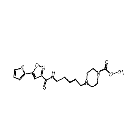 COC(=O)N1CCN(CCCCCNC(=O)c2cc(-c3cccs3)on2)CC1